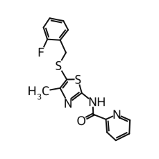 Cc1nc(NC(=O)c2ccccn2)sc1SCc1ccccc1F